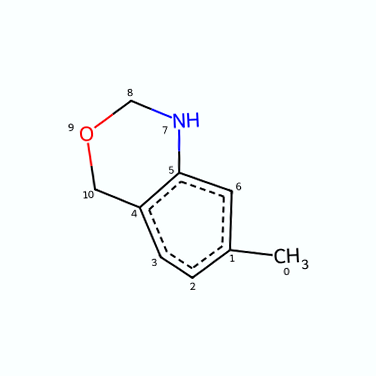 Cc1ccc2c(c1)NCOC2